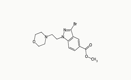 COC(=O)c1ccc2c(c1)c(Br)nn2CCN1CCOCC1